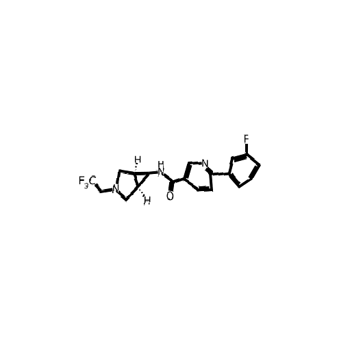 O=C(NC1[C@H]2CN(CC(F)(F)F)C[C@@H]12)c1ccc(-c2cccc(F)c2)nc1